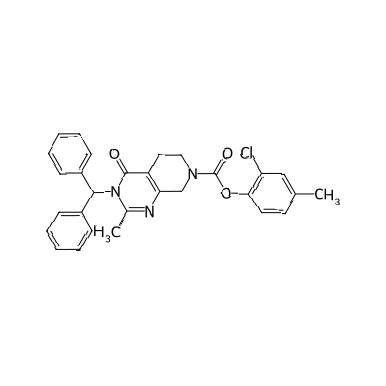 Cc1ccc(OC(=O)N2CCc3c(nc(C)n(C(c4ccccc4)c4ccccc4)c3=O)C2)c(Cl)c1